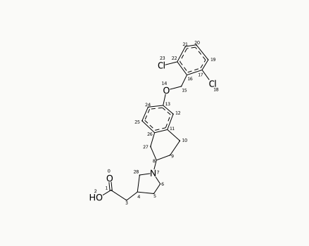 O=C(O)CC1CCN(C2CCc3cc(OCc4c(Cl)cccc4Cl)ccc3C2)C1